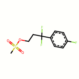 CS(=O)(=O)OCCC(F)(F)c1ccc(F)cc1